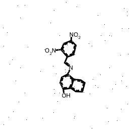 O=[N+]([O-])c1ccc(/C=N/c2ccc(O)c3ccccc23)c([N+](=O)[O-])c1